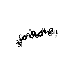 CC(C)(O)CCn1ncc2cc(Oc3ccc(F)c4c3CC[C@H]4Oc3ccc4c(c3)OC[C@H]4CC(=O)O)ccc21